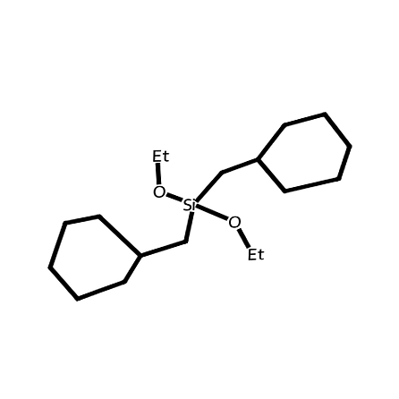 CCO[Si](CC1CCCCC1)(CC1CCCCC1)OCC